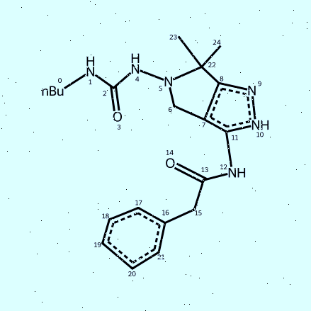 CCCCNC(=O)NN1Cc2c(n[nH]c2NC(=O)Cc2ccccc2)C1(C)C